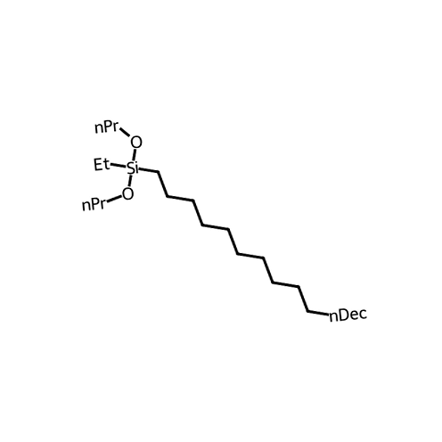 CCCCCCCCCCCCCCCCCCCC[Si](CC)(OCCC)OCCC